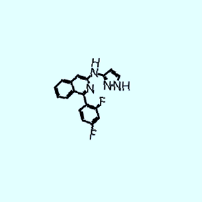 Fc1ccc(-c2nc(Nc3cc[nH]n3)cc3ccccc23)c(F)c1